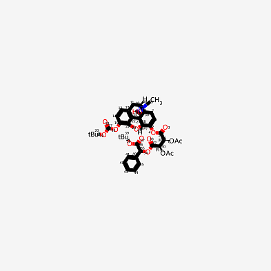 CC(=O)O[C@@H](C(=O)OC1=CC[C@@]2(O)[C@H]3Cc4ccc(OC(=O)OC(C)(C)C)c5c4[C@@]2(CCN3C)[C@H]1O5)[C@@H](OC(C)=O)C(=O)OC(C(=O)OC(C)(C)C)c1ccccc1